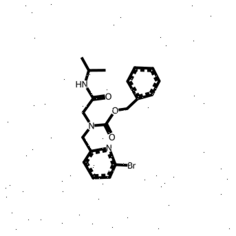 CC(C)NC(=O)CN(Cc1cccc(Br)n1)C(=O)OCc1ccccc1